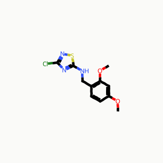 COc1ccc(CNc2nc(Cl)ns2)c(OC)c1